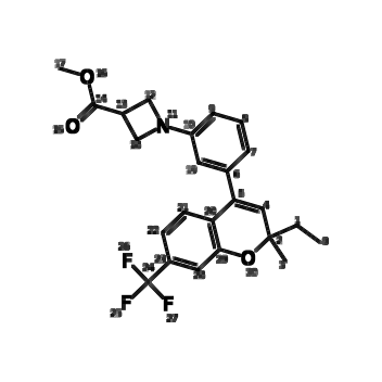 CCC1(C)C=C(c2cccc(N3CC(C(=O)OC)C3)c2)c2ccc(C(F)(F)F)cc2O1